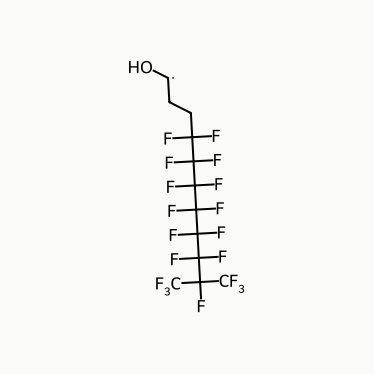 O[CH]CCC(F)(F)C(F)(F)C(F)(F)C(F)(F)C(F)(F)C(F)(F)C(F)(C(F)(F)F)C(F)(F)F